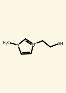 Cn1cc[n+](CCS)c1